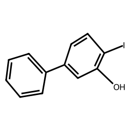 Oc1cc(-c2ccccc2)ccc1I